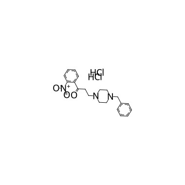 Cl.Cl.O=C(CCN1CCN(Cc2ccccc2)CC1)c1ccccc1[N+](=O)[O-]